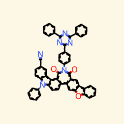 N#Cc1ccc2c(c1)c1c3c(=O)n(-c4ccc(-c5nc(-c6ccccc6)nc(-c6ccccc6)n5)cc4)c(=O)c4cc5c(cc4c3ccc1n2-c1ccccc1)oc1ccccc15